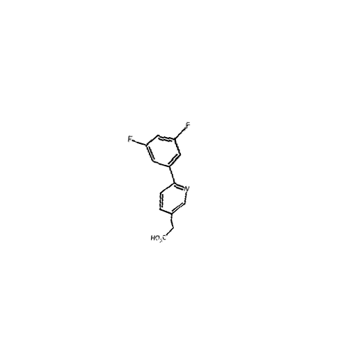 O=C(O)Cc1ccc(-c2cc(F)cc(F)c2)nc1